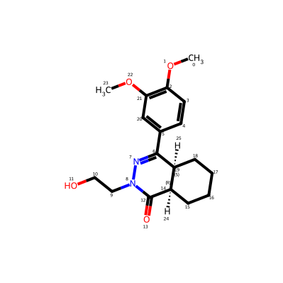 COc1ccc(C2=NN(CCO)C(=O)[C@@H]3CCCC[C@H]23)cc1OC